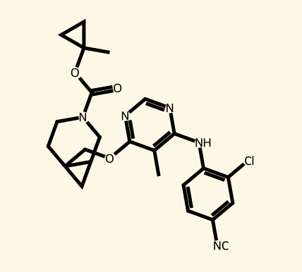 [C-]#[N+]c1ccc(Nc2ncnc(OCC34CCN(C(=O)OC5(C)CC5)CC3C4)c2C)c(Cl)c1